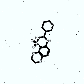 O=S1(=O)NC(C2CCCCC2)Nc2ccc3c(c21)OCCO3